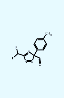 Cc1ccc(C2(C=O)N=NC(C(F)F)=N2)cc1